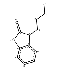 CCCCC1C(=O)Oc2ccccc21